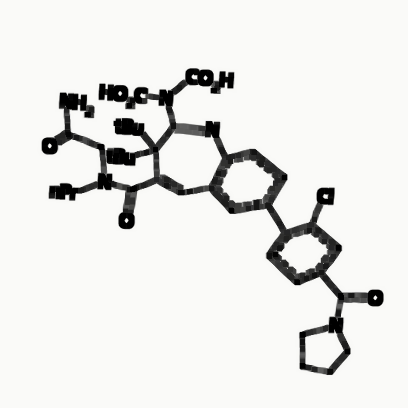 CCCN(CC(N)=O)C(=O)C1=Cc2cc(-c3ccc(C(=O)N4CCCC4)cc3Cl)ccc2N=C(N(C(=O)O)C(=O)O)C1(C(C)(C)C)C(C)(C)C